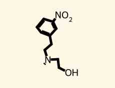 CN(CCO)CCc1cccc([N+](=O)[O-])c1